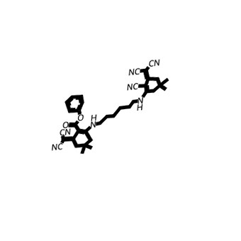 CC1(C)CC(NCCCCCCNC2=C(C(=O)Oc3ccccc3)C(=C(C#N)C#N)CC(C)(C)C2)=C(C#N)C(=C(C#N)C#N)C1